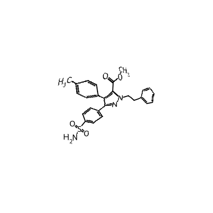 COC(=O)c1c(-c2ccc(C)cc2)c(-c2ccc(S(N)(=O)=O)cc2)nn1CCc1ccccc1